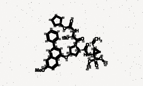 C=C[C@@H]1C[C@]1(NC(=O)[C@@H]1C[C@@H](Oc2cc(-c3ccccc3)nc3cc(OC)ccc23)CN1C(=O)[C@@H](NC(=O)OC1CCCC1)C(C)(C)C)P(=O)(OCC)OCC